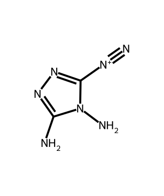 N#[N+]c1nnc(N)n1N